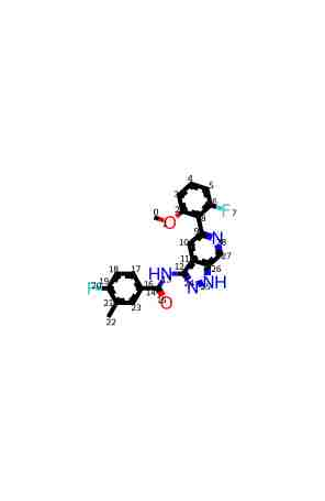 COc1cccc(F)c1-c1cc2c(NC(=O)c3ccc(F)c(C)c3)n[nH]c2cn1